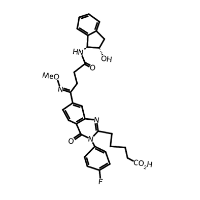 CO/N=C(\CCC(=O)N[C@@H]1c2ccccc2C[C@@H]1O)c1ccc2c(=O)n(-c3ccc(F)cc3)c(CCCCC(=O)O)nc2c1